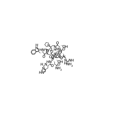 CC(C)C[C@H](NC(=O)CNC(=O)[C@H](Cc1c[nH]c2ccccc12)NC(=O)[C@@H]1CCCN1C(=O)CNC(=O)[C@H](CO)NC(=O)[C@H](CCCNC(=N)N)NC(=O)[C@H](CO)NC(=O)[C@H](CCC(N)=O)NC(=O)[C@@H](N)Cc1c[nH]cn1)C(=O)O